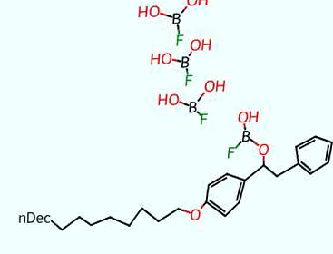 CCCCCCCCCCCCCCCCCCOc1ccc(C(Cc2ccccc2)OB(O)F)cc1.OB(O)F.OB(O)F.OB(O)F